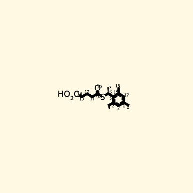 Cc1cc(C)c([C@H](C)SC(=O)CCCC(=O)O)c(C)c1